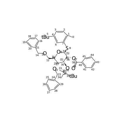 Cc1ccc(C(C)(C)C)cc1S[C@@H]1O[C@H](COCc2ccccc2)[C@@H](OCc2ccccc2)[C@H](O[Si](C)(C)C(C)(C)C)[C@H]1OC(=O)c1ccccc1